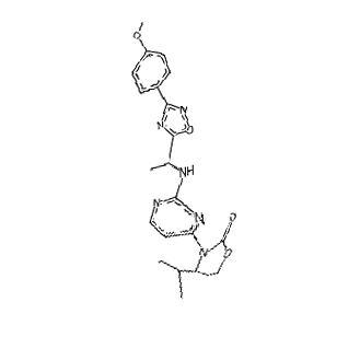 COc1ccc(-c2noc(C(C)Nc3nccc(N4C(=O)OCC4C(C)C)n3)n2)cc1